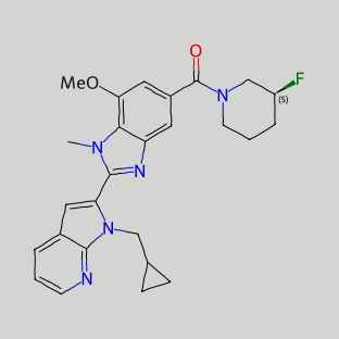 COc1cc(C(=O)N2CCC[C@H](F)C2)cc2nc(-c3cc4cccnc4n3CC3CC3)n(C)c12